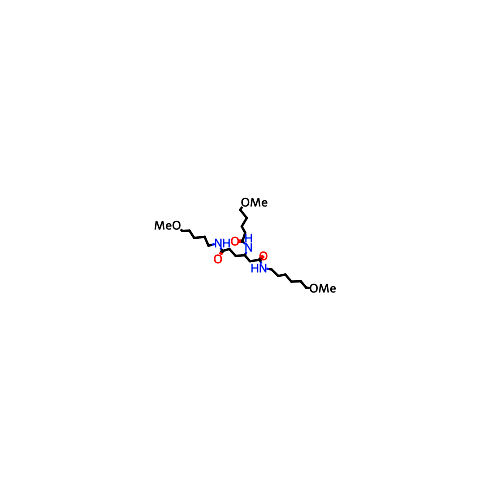 COCCCCCCNC(=O)CC(CCC(=O)NCCCCCOC)NC(=O)CCCCOC